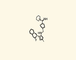 Cc1cc(NCc2ccc(C(=N)N3CCCCC3)cc2)n(-c2cc3ccccc3cc2F)n1